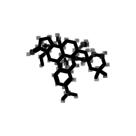 CC[C@]12C[C@@H]3c4ccc(N(C)C)cc4C[C@]45CCC6(CC(C)(C)COO6)C[C@]4(O)CC[C@H]([C@H]35)[C@@H]1CCC2=O